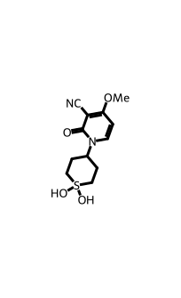 COc1ccn(C2CCS(O)(O)CC2)c(=O)c1C#N